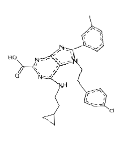 Cc1cccc(-c2nc3nc(C(=O)O)nc(NCCC4CC4)c3n2CCc2ccc(Cl)cc2)c1